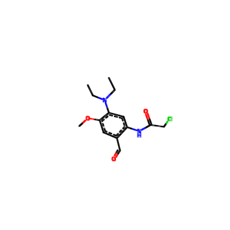 CCN(CC)c1cc(NC(=O)CCl)c(C=O)cc1OC